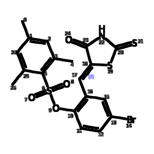 Cc1cc(C)c(S(=O)(=O)Oc2ccc(Br)cc2/C=C2\SC(=S)NC2=O)c(C)c1